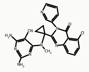 CN(c1nc(N)nc(N)c1C#N)C1(c2nc3cccc(Cl)c3c(=O)n2-c2cccnc2)CC1